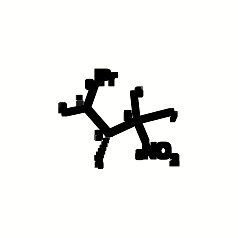 CC(C)C(C)[C@@H](C)C(C)(C)[N+](=O)[O-]